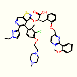 CCn1ccc(-c2ncc3snc(O[C@H](Cc4ccccc4OCc4ccnc(-c5ccccc5OC)n4)C(=O)O)c3c2-c2ccc(OCCN3CCN(C)CC3)c(Cl)c2C)n1